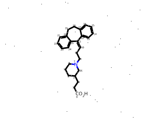 O=C(O)CCC1CCCN(CCC=C2c3ccccc3CCc3ccccc32)C1